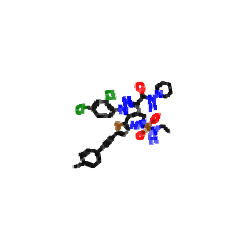 CCNS(=O)(=O)NCc1c(C(=O)NN2CCCCC2)nn(-c2ccc(Cl)cc2Cl)c1-c1ccc(C#Cc2ccc(C)cc2)s1